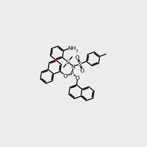 Cc1ccc(S(=O)(=O)N(P(Oc2cccc3ccccc23)Oc2cccc3ccccc23)[Si](C)(C)c2ccccc2N)cc1